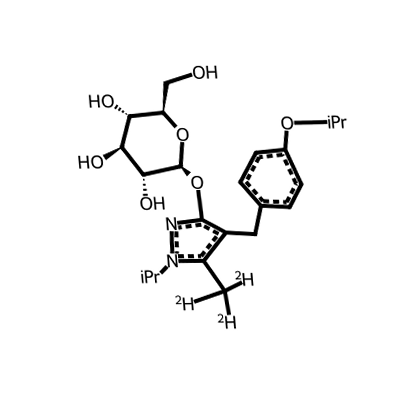 [2H]C([2H])([2H])c1c(Cc2ccc(OC(C)C)cc2)c(O[C@@H]2O[C@H](CO)[C@@H](O)[C@H](O)[C@H]2O)nn1C(C)C